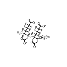 CC(CC(=O)[O-])C(C)(F)C(F)(F)C(F)(F)C(F)(F)C(=O)[O-].CC(CC(=O)[O-])C(C)(F)C(F)(F)C(F)(F)C(F)(F)C(=O)[O-].[Cu+2].[Cu+2]